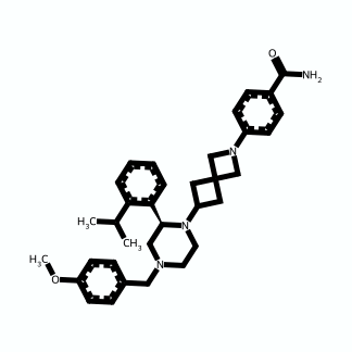 COc1ccc(CN2CCN(C3CC4(C3)CN(c3ccc(C(N)=O)cc3)C4)[C@H](c3ccccc3C(C)C)C2)cc1